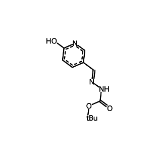 CC(C)(C)OC(=O)NN=Cc1ccc(O)nc1